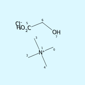 C[N+](C)(C)C.O=C(O)CO.[Cl-]